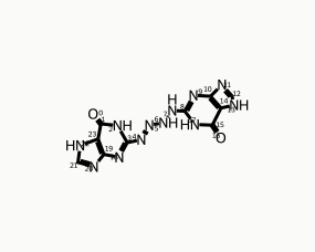 O=c1[nH]c(/N=N/NNc2nc3nc[nH]c3c(=O)[nH]2)nc2nc[nH]c12